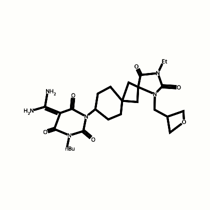 CCCCN1C(=O)C(=C(N)N)C(=O)N(C2CCC3(CC2)CC2(C3)C(=O)N(CC)C(=O)N2CC2COC2)C1=O